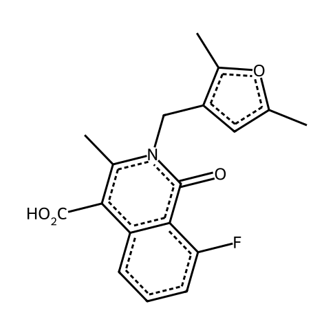 Cc1cc(Cn2c(C)c(C(=O)O)c3cccc(F)c3c2=O)c(C)o1